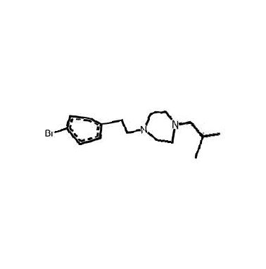 C[C](C)CN1CCN(CCc2ccc(Br)cc2)CC1